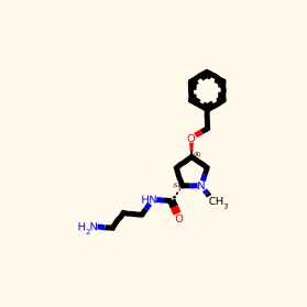 CN1C[C@H](OCc2ccccc2)C[C@H]1C(=O)NCCCN